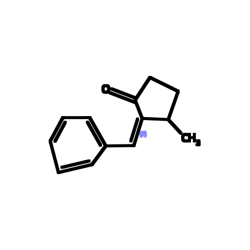 CC1CCC(=O)/C1=C\c1ccccc1